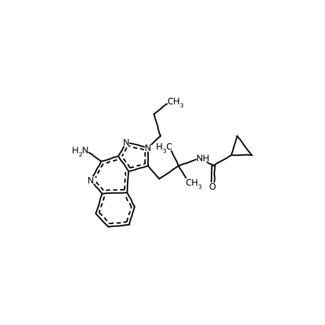 CCCn1nc2c(N)nc3ccccc3c2c1CC(C)(C)NC(=O)C1CC1